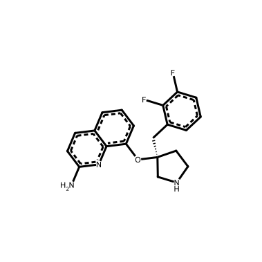 Nc1ccc2cccc(O[C@@]3(Cc4cccc(F)c4F)CCNC3)c2n1